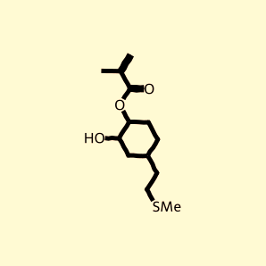 C=C(C)C(=O)OC1CCC(CCSC)CC1O